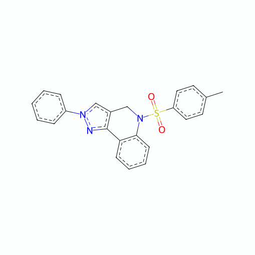 Cc1ccc(S(=O)(=O)N2Cc3cn(-c4ccccc4)nc3-c3ccccc32)cc1